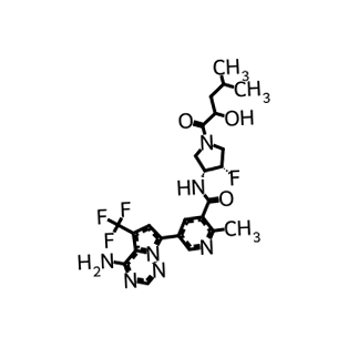 Cc1ncc(-c2cc(C(F)(F)F)c3c(N)ncnn23)cc1C(=O)N[C@@H]1CN(C(=O)C(O)CC(C)C)C[C@@H]1F